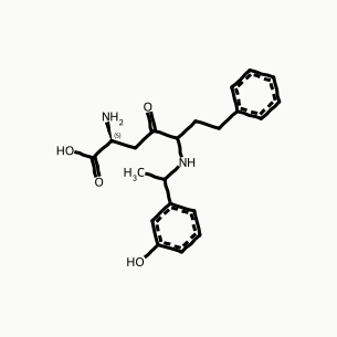 CC(NC(CCc1ccccc1)C(=O)C[C@H](N)C(=O)O)c1cccc(O)c1